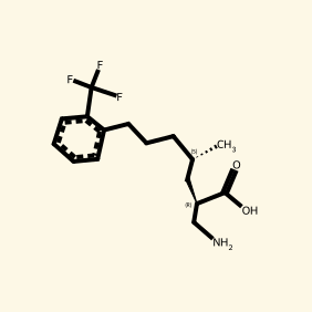 C[C@@H](CCCc1ccccc1C(F)(F)F)C[C@H](CN)C(=O)O